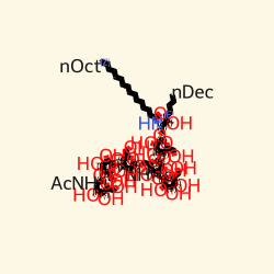 CCCCCCCC/C=C\CCCCCCCCCCCCCC(=O)N[C@@H](CO[C@@H]1OC(CO)[C@@H](O[C@@H]2OC(CO[C@@H]3OC(CO)[C@@H](O[C@@H]4OC(CO)[C@H](O[C@@H]5OC(CO)[C@H](O)[C@H](O)C5NC(C)=O)[C@H](O)C4O)[C@H](O)C3NC(C)=O)[C@H](O)[C@H](O[C@H]3OC(CO)[C@H](O)[C@H](O)C3O)C2O)[C@H](O)C1O)[C@H](O)/C=C/CCCCCCCCCCCCC